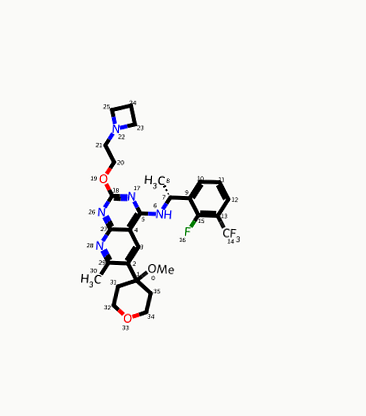 COC1(c2cc3c(N[C@H](C)c4cccc(C(F)(F)F)c4F)nc(OCCN4CCC4)nc3nc2C)CCOCC1